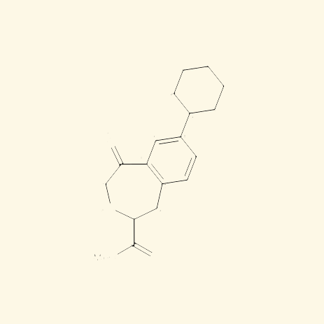 COC(=O)C1Cc2ccc(C3CCCCC3)cc2C(=O)CS1